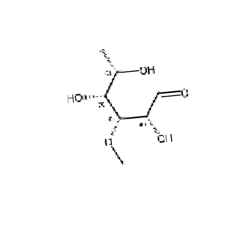 CO[C@H]([C@H](O)[C@H](C)O)[C@@H](O)C=O